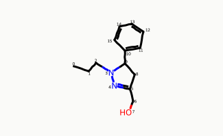 CCCN1N=C(CO)CC1c1ccccc1